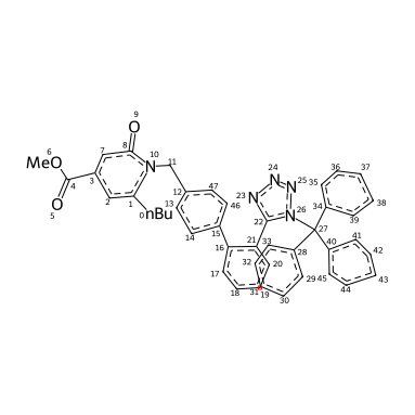 CCCCc1cc(C(=O)OC)cc(=O)n1Cc1ccc(-c2ccccc2-c2nnnn2C(c2ccccc2)(c2ccccc2)c2ccccc2)cc1